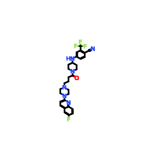 N#Cc1ccc(NC2CCN(C(=O)CCCN3CCN(c4ccc5cc(F)ccc5n4)CC3)CC2)cc1C(F)(F)F